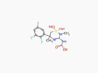 CN1C(NC(=O)O)=NC(C)(c2cc(I)cc(F)c2F)CS1(O)O